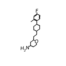 Cc1cc(F)ccc1C1CCC(CCC2CC(N)CCO2)CC1